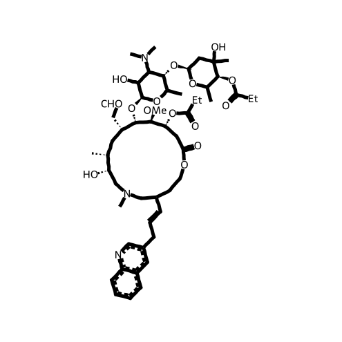 CCC(=O)O[C@@H]1CC(=O)OCCC(/C=C/Cc2cnc3ccccc3c2)CN(C)C[C@H](O)[C@H](C)C[C@H](CC=O)[C@H](O[C@@H]2OC(C)[C@@H](O[C@H]3CC(C)(O)[C@@H](OC(=O)CC)C(C)O3)C(N(C)C)C2O)[C@H]1OC